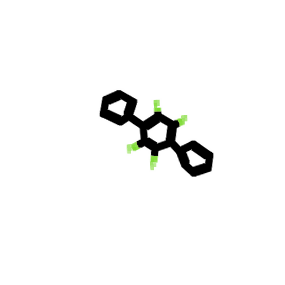 Fc1c(F)c(-c2ccccc2)c(F)c(F)c1-c1ccccc1